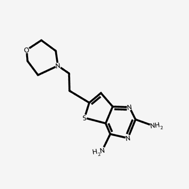 Nc1nc(N)c2sc(CCN3CCOCC3)cc2n1